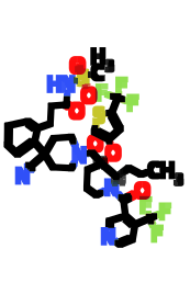 CCC[C@H]1N(C(=O)c2cnccc2C(F)(F)F)CCC[C@]1(Oc1csc(C(F)(F)F)c1)C(=O)N1CCC(C#N)(c2ccccc2CCC(=O)NS(C)(=O)=O)CC1